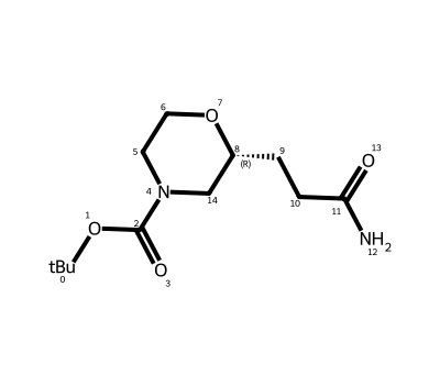 CC(C)(C)OC(=O)N1CCO[C@H](CCC(N)=O)C1